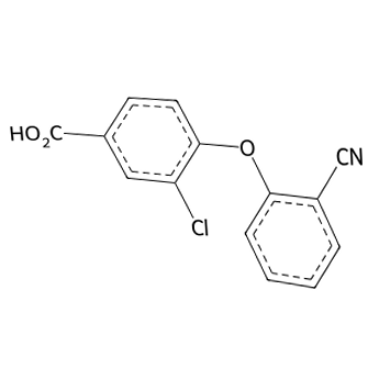 N#Cc1ccccc1Oc1ccc(C(=O)O)cc1Cl